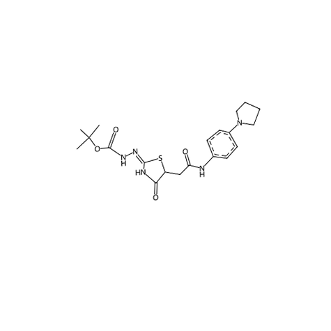 CC(C)(C)OC(=O)N/N=C1\NC(=O)C(CC(=O)Nc2ccc(N3CCCC3)cc2)S1